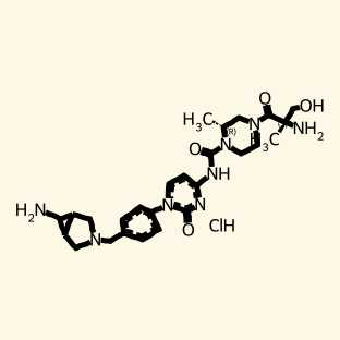 C[C@@H]1CN(C(=O)[C@@](C)(N)CO)CCN1C(=O)Nc1ccn(-c2ccc(CN3CC4C(N)C4C3)cc2)c(=O)n1.Cl